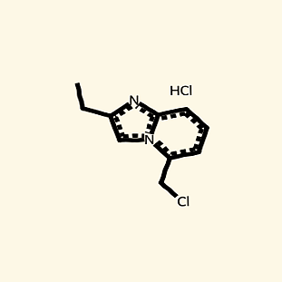 CCc1cn2c(CCl)cccc2n1.Cl